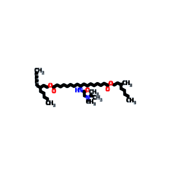 C=C=C=C=CC(CCCCC)CCOC(=O)CCCCCCCC(CCCCCCCC(=O)OCCC(C)CCCCC)NC(=O)CN(C)C(C)C